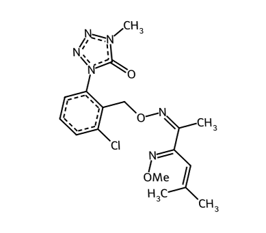 CON=C(C=C(C)C)C(C)=NOCc1c(Cl)cccc1-n1nnn(C)c1=O